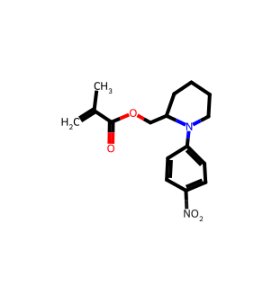 C=C(C)C(=O)OCC1CCCCN1c1ccc([N+](=O)[O-])cc1